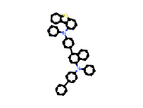 c1ccc(-c2ccc(N(c3ccccc3)c3ccc(-c4ccc(N(c5ccccc5)c5cccc6sc7ccccc7c56)cc4)c4ccccc34)cc2)cc1